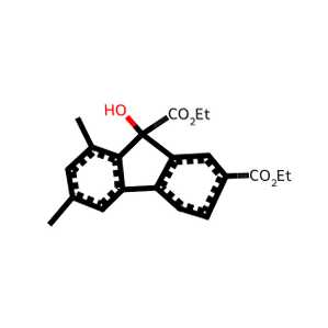 CCOC(=O)c1ccc2c(c1)C(O)(C(=O)OCC)c1c(C)cc(C)cc1-2